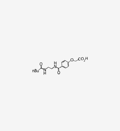 CCCCC(=O)NCCNC(=O)c1ccc(OCC(=O)O)cc1